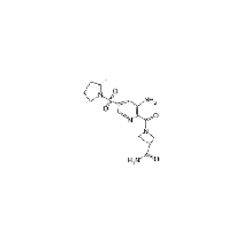 C[C@H]1CCCN1S(=O)(=O)c1cnc(C(=O)N2CC(C(N)=O)C2)c(N)c1